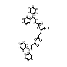 N=C(CCC(=O)OC(=O)CCP(c1ccccc1)c1ccccc1)OC(=O)CCP(c1ccccc1)c1ccccc1